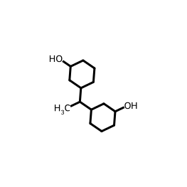 CC(C1CCCC(O)C1)C1CCCC(O)C1